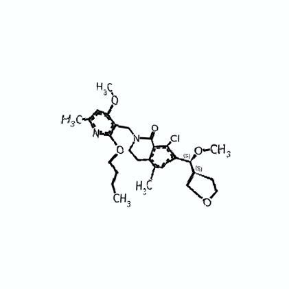 CCCCOc1nc(C)cc(OC)c1CN1CCc2c(C)cc([C@@H](OC)[C@H]3CCOC3)c(Cl)c2C1=O